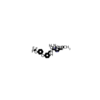 COCC(C)/C=C\C(C(=O)NCc1cccc(Oc2cccc(OC(F)(F)F)c2)c1)=C(/C)N